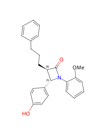 COc1ccccc1N1C(=O)[C@H](CCCc2ccccc2)[C@H]1c1ccc(O)cc1